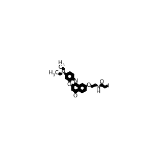 CCN(CC)c1ccc2nc3c4cc(OCCNC(=O)CI)ccc4c(=O)cc-3oc2c1